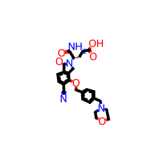 N#Cc1ccc2c(c1OCc1ccc(CN3CCOCC3)cc1)CN([C@@H](CCC(=O)O)C(N)=O)C2=O